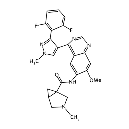 COc1cc2ncnc(-c3cn(C)nc3-c3c(F)cccc3F)c2cc1NC(=O)C12CC1CN(C)C2